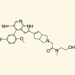 COc1ccc(F)cc1-c1c(C#N)cnc2[nH]c(C3=CC4CN(CC(=O)N(C)CCO)CC4C3)cc12